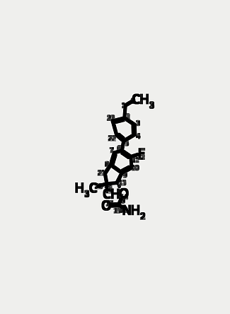 CCc1ccc(-c2cc3c(cc2F)[C@H](OC(N)=O)C(C)(C)C3)cc1